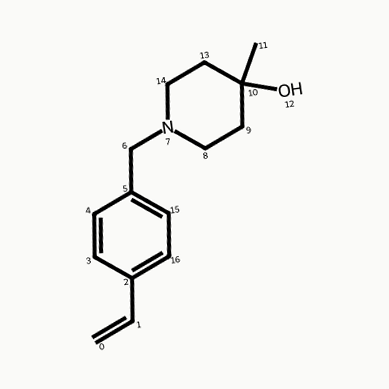 C=Cc1ccc(CN2CCC(C)(O)CC2)cc1